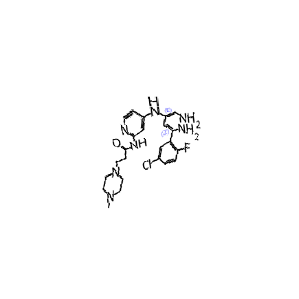 CN1CCN(CCC(=O)Nc2cc(NC(/C=C(\N)c3cc(Cl)ccc3F)=C/N)ccn2)CC1